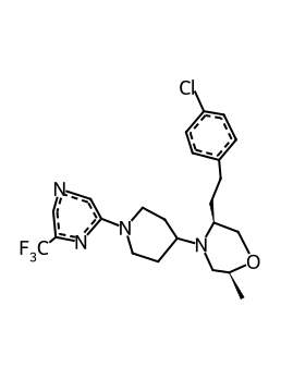 C[C@H]1CN(C2CCN(c3cncc(C(F)(F)F)n3)CC2)[C@@H](CCc2ccc(Cl)cc2)CO1